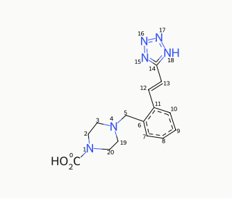 O=C(O)N1CCN(Cc2ccccc2C=Cc2nnn[nH]2)CC1